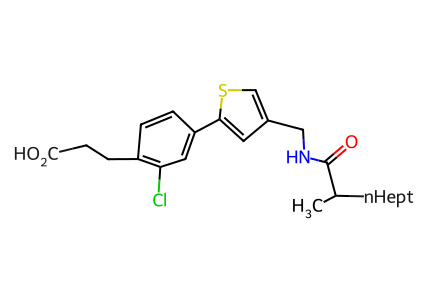 CCCCCCCC(C)C(=O)NCc1csc(-c2ccc(CCC(=O)O)c(Cl)c2)c1